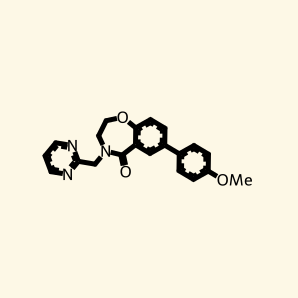 COc1ccc(-c2ccc3c(c2)C(=O)N(Cc2ncccn2)CCO3)cc1